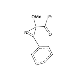 COC1(C(=O)C(C)C)N=C1c1ccccc1